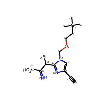 C#Cc1cn(COCC[Si](C)(C)C)c(C(CC)C(=N)C(=O)O)n1